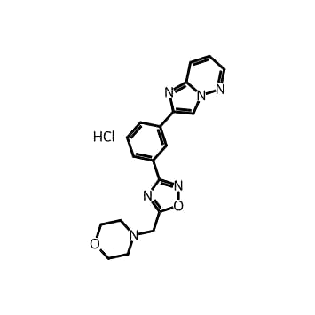 Cl.c1cc(-c2cn3ncccc3n2)cc(-c2noc(CN3CCOCC3)n2)c1